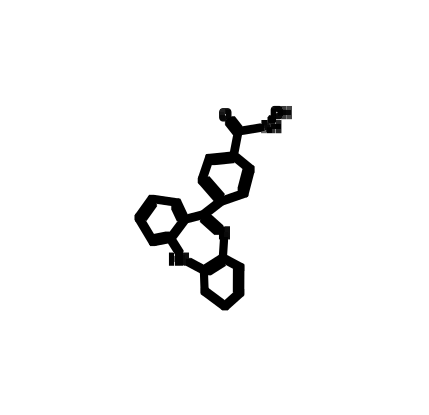 O=C(NO)c1ccc(C2=NC3=C(CCC=C3)Nc3ccccc32)cc1